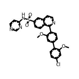 COc1cc(Cl)ccc1-c1ccc(-c2nccc3cc(S(=O)(=O)Nc4ccncn4)ccc23)c(OC)c1